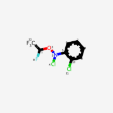 FC(ON(Cl)c1ccccc1Cl)C(F)(F)F